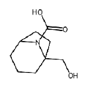 O=C(O)N1C2CCCC1(CO)CC2